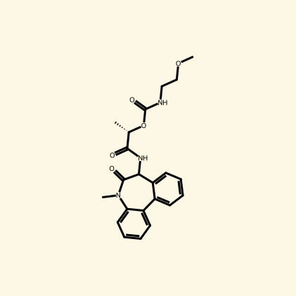 COCCNC(=O)O[C@@H](C)C(=O)NC1C(=O)N(C)c2ccccc2-c2ccccc21